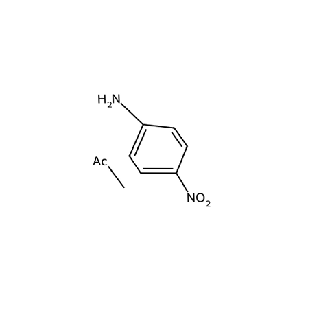 CC(C)=O.Nc1ccc([N+](=O)[O-])cc1